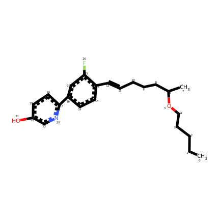 CCCCCOC(C)CCC/C=C/c1ccc(-c2ccc(O)cn2)cc1F